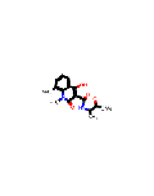 COC(=O)C(C)NC(=O)c1c(O)c2cccc(OC)c2n(C)c1=O